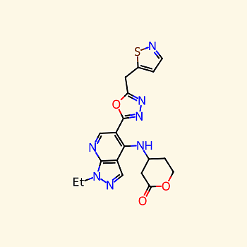 CCn1ncc2c(NC3CCOC(=O)C3)c(-c3nnc(Cc4ccns4)o3)cnc21